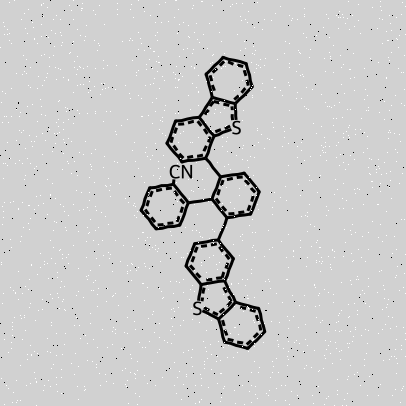 N#Cc1ccccc1-c1c(-c2ccc3sc4ccccc4c3c2)cccc1-c1cccc2c1sc1ccccc12